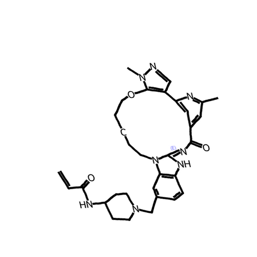 C=CC(=O)NC1CCN(Cc2ccc3c(c2)N2CCCCCOc4c(cnn4C)-c4cc(cc(C)n4)C(=O)/N=C/2N3)CC1